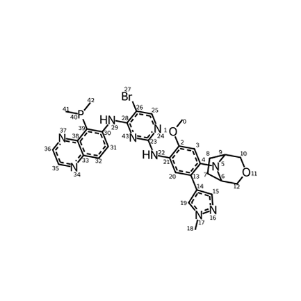 COc1cc(N2C3CCC2COC3)c(-c2cnn(C)c2)cc1Nc1ncc(Br)c(Nc2ccc3nccnc3c2P(C)C)n1